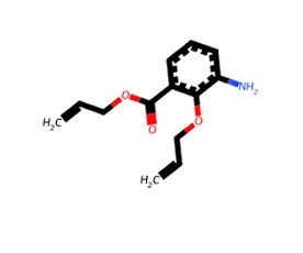 C=CCOC(=O)c1cccc(N)c1OCC=C